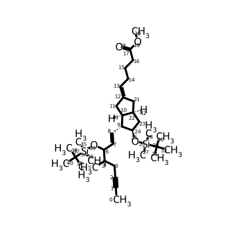 CC#CCC(C)C(/C=C/[C@@H]1[C@H]2C/C(=C/CCCC(=O)OC)C[C@H]2C[C@H]1O[Si](C)(C)C(C)(C)C)O[Si](C)(C)C(C)(C)C